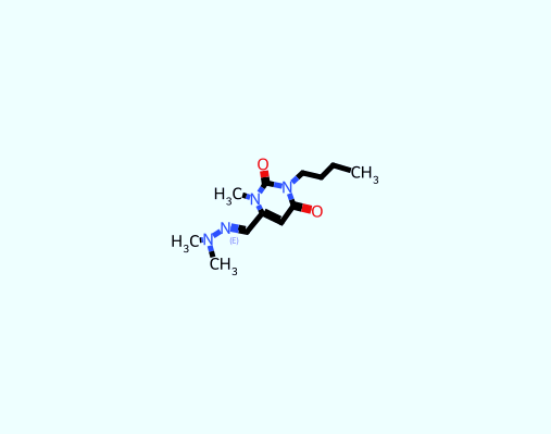 CCCCn1c(=O)cc(/C=N/N(C)C)n(C)c1=O